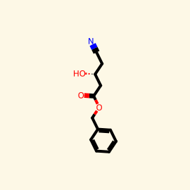 N#CC[C@@H](O)CC(=O)OCc1ccccc1